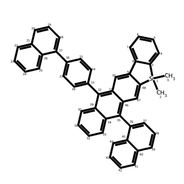 C[Si]1(C)c2ccccc2-c2cc3c(-c4ccc(-c5cccc6ccccc56)cc4)c4ccccc4c(-c4cccc5ccccc45)c3cc21